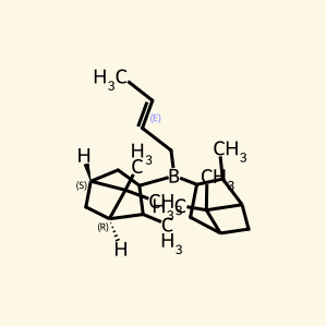 C/C=C/CB(C1CC2CC(C1C)C2(C)C)C1C[C@H]2C[C@H](C1C)C2(C)C